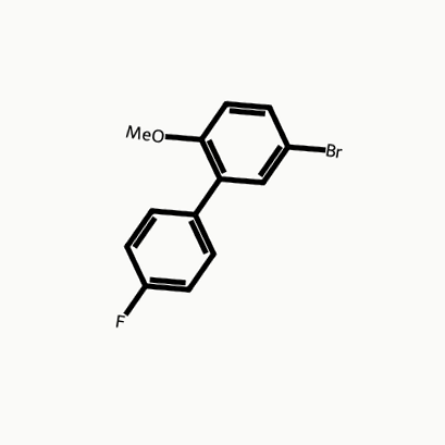 COc1ccc(Br)cc1-c1ccc(F)cc1